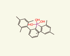 Cc1cc(C)c(-c2ccccc2P(O)(O)(O)c2c(C)cc(C)cc2C)c(C)c1